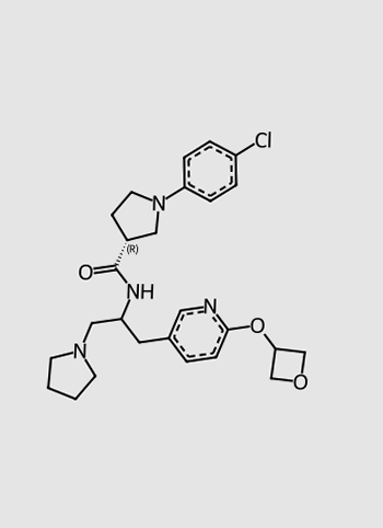 O=C(NC(Cc1ccc(OC2COC2)nc1)CN1CCCC1)[C@@H]1CCN(c2ccc(Cl)cc2)C1